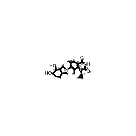 Cc1c(N2CC3CCC(O)C(O)C3C2)c(F)cc2c(=O)[nH]c(=O)n(C3CC3)c12